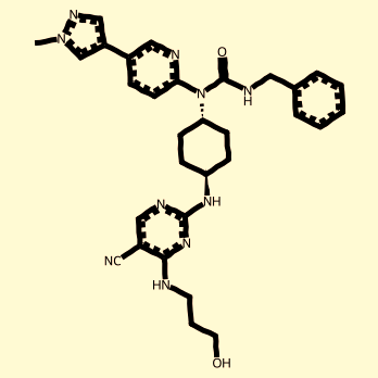 Cn1cc(-c2ccc(N(C(=O)NCc3ccccc3)[C@H]3CC[C@H](Nc4ncc(C#N)c(NCCCO)n4)CC3)nc2)cn1